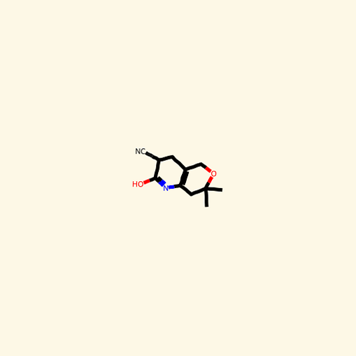 CC1(C)CC2=C(CO1)CC(C#N)C(O)=N2